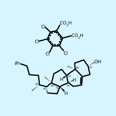 CC(C)CCC[C@@H](C)[C@H]1CC[C@H]2[C@@H]3CC=C4C[C@@H](O)CC[C@]4(C)[C@H]3CC[C@]12C.O=C(O)c1c(Cl)c(Cl)c(Cl)c(Cl)c1C(=O)O